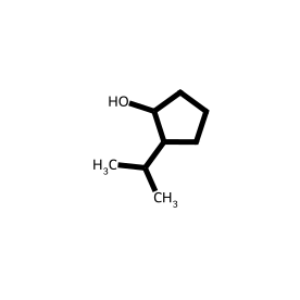 C[C](C)C1CCCC1O